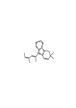 C/C=C(C)\C=C(/C)n1c2c(c3ccccc31)CC(C)(C)C=C2